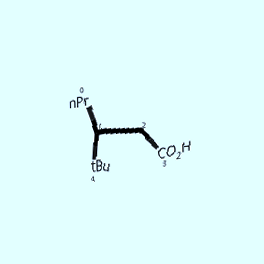 CCCC(CC(=O)O)C(C)(C)C